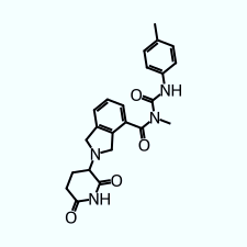 Cc1ccc(NC(=O)N(C)C(=O)c2cccc3c2CN(C2CCC(=O)NC2=O)C3)cc1